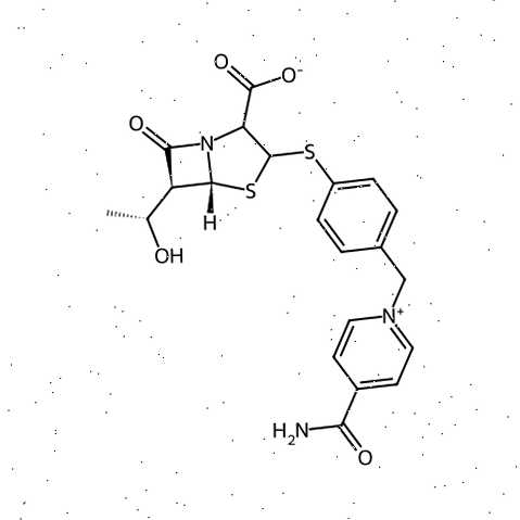 C[C@@H](O)[C@H]1C(=O)N2C(C(=O)[O-])C(Sc3ccc(C[n+]4ccc(C(N)=O)cc4)cc3)S[C@H]12